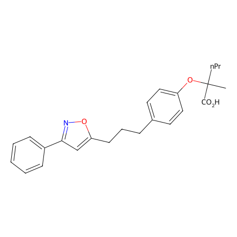 CCCC(C)(Oc1ccc(CCCc2cc(-c3ccccc3)no2)cc1)C(=O)O